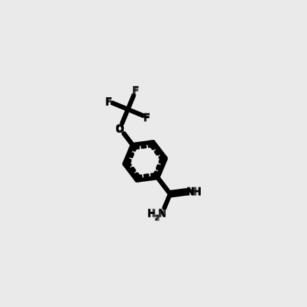 N=C(N)c1ccc(OC(F)(F)F)cc1